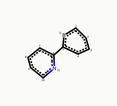 b1ccccc1-c1ccccn1